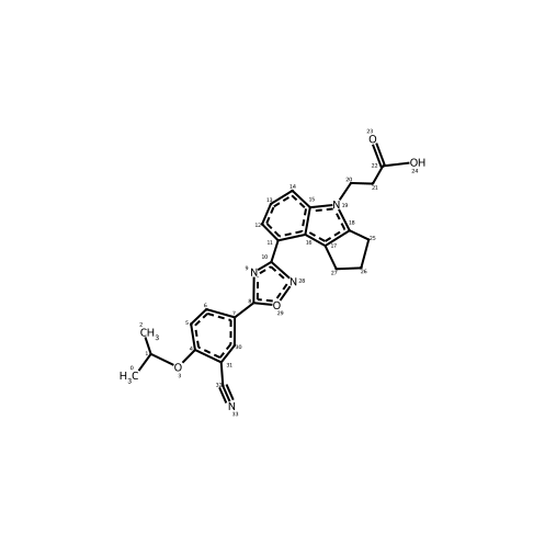 CC(C)Oc1ccc(-c2nc(-c3cccc4c3c3c(n4CCC(=O)O)CCC3)no2)cc1C#N